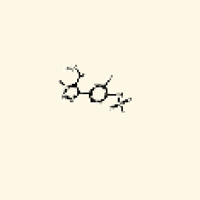 Cn1nnc(-c2ccc(NS(C)(=O)=O)c(F)n2)c1NC(=O)O